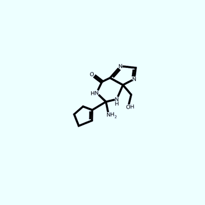 NC1(C2=CCCC2)NC(=O)C2=NC=NC2(CO)N1